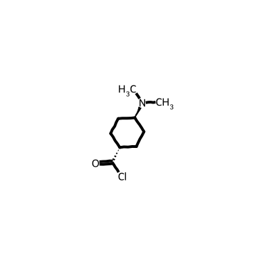 CN(C)[C@H]1CC[C@H](C(=O)Cl)CC1